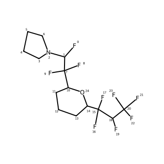 FC(N1CCCC1)C(F)(F)C1CCCC(C(F)(F)C(F)C(F)(F)F)O1